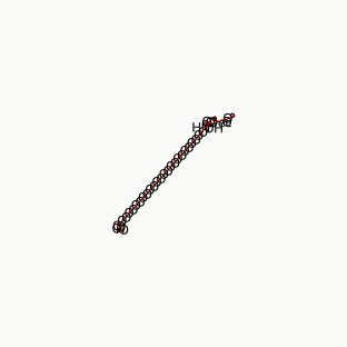 CCCCCCCCCCCC(CCCCCCCCCCC(=O)OCc1ccccc1)(C(=O)OCc1ccccc1)C(O)NCCOCCOCCOCCOCCOCCOCCOCCOCCOCCOCCOCCOCCOCCOCCOCCOCCOCCOCCOCCOCCOCCOCCOCCOCCC(=O)ON1C(=O)CCC1=O